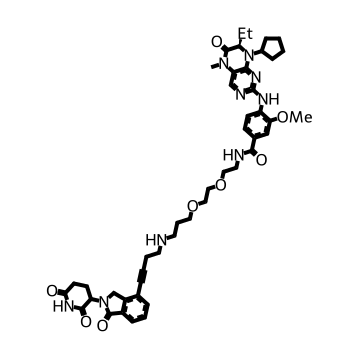 CC[C@@H]1C(=O)N(C)c2cnc(Nc3ccc(C(=O)NCCOCCOCCCNCCC#Cc4cccc5c4CN(C4CCC(=O)NC4=O)C5=O)cc3OC)nc2N1C1CCCC1